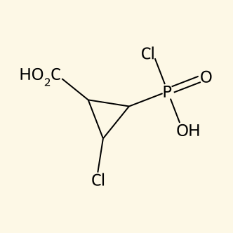 O=C(O)C1C(Cl)C1P(=O)(O)Cl